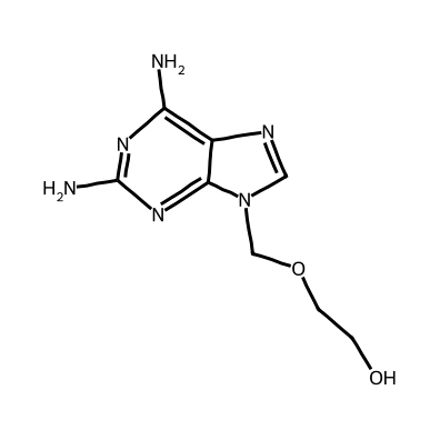 Nc1nc(N)c2ncn(COCCO)c2n1